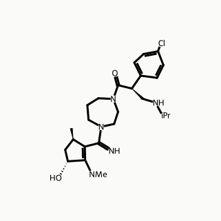 CNC1=C(C(=N)N2CCCN(C(=O)[C@H](CNC(C)C)c3ccc(Cl)cc3)CC2)[C@H](C)C[C@H]1O